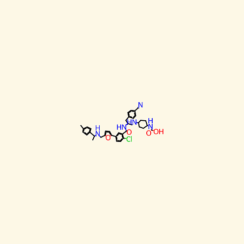 Cc1ccc(C(C)NCc2ccc(-c3ccc(Cl)c(C(=O)NC(CNC4CCC(NC(=O)O)CC4)Cc4ccc(C#N)cc4)c3)o2)cc1